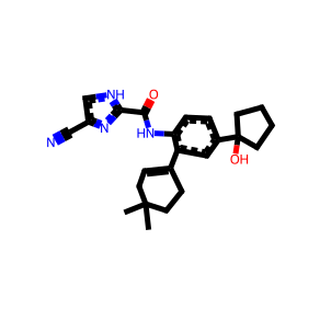 CC1(C)CC=C(c2cc(C3(O)CCCC3)ccc2NC(=O)c2nc(C#N)c[nH]2)CC1